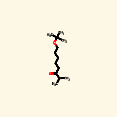 CC(C)C(=O)CCCCCOC(C)(C)C